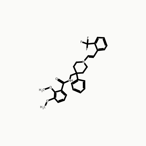 COc1cccc(C(=O)NCC2(c3ccccc3)CCN(C=Cc3ccccc3C(F)(F)F)CC2)c1OC